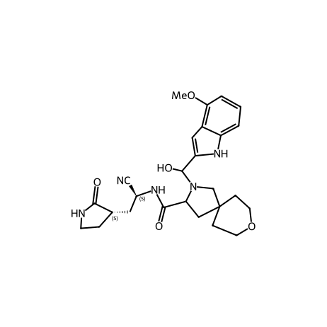 COc1cccc2[nH]c(C(O)N3CC4(CCOCC4)CC3C(=O)N[C@H](C#N)C[C@@H]3CCNC3=O)cc12